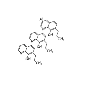 CCCc1ccc2cccnc2c1O.CCCc1ccc2cccnc2c1O.CCCc1ccc2cccnc2c1O.[Al]